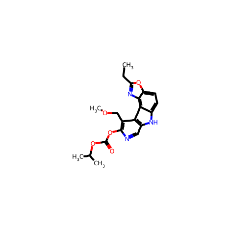 CCc1nc2c(ccc3[nH]c4cnc(OC(=O)OC(C)C)c(COC)c4c32)o1